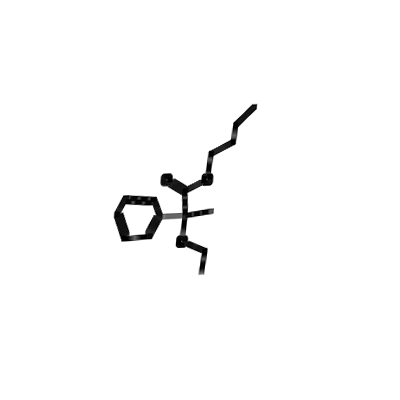 CCCCOC(=O)C(C)(OCC)c1ccccc1